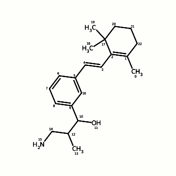 CC1=C(C=Cc2cccc(C(O)C(C)CN)c2)C(C)(C)CCC1